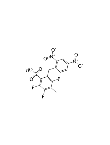 Cc1c(F)c(F)c(S(=O)(=O)O)c(Cc2ccc([N+](=O)[O-])cc2[N+](=O)[O-])c1F